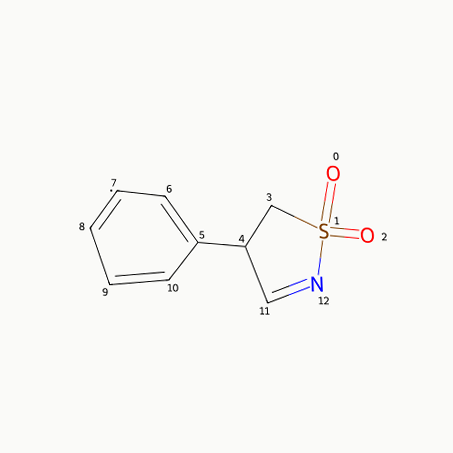 O=S1(=O)CC(c2c[c]ccc2)C=N1